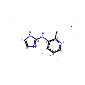 Cc1ncccc1NC1=NC=C[N]1